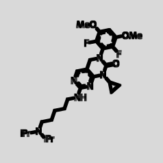 COc1cc(OC)c(F)c(N2Cc3cnc(NCCCCCN(C(C)C)C(C)C)nc3N(C3CC3)C2=O)c1F